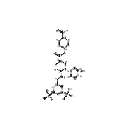 CC(=O)N1CCN(CC(=O)N2CC[C@@H](OCc3cc(C(F)(F)F)cc(C(F)(F)F)c3)[C@@H](c3ccccc3)C2)CC1.Cl